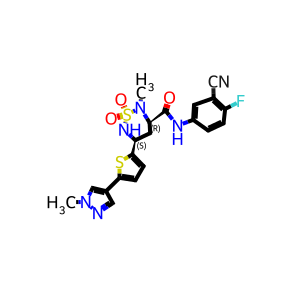 CN1[C@@H](C(=O)Nc2ccc(F)c(C#N)c2)C[C@@H](c2ccc(-c3cnn(C)c3)s2)NS1(=O)=O